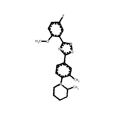 COc1ccc(F)cc1-c1noc(-c2ccc(N3CCCCC3C)c(C)c2)n1